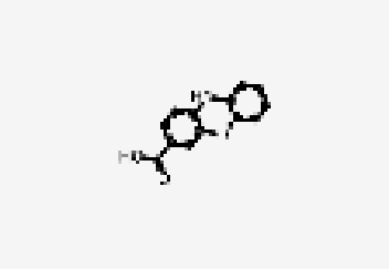 O=C(O)c1ccc2c(c1)Oc1ccccc1N2